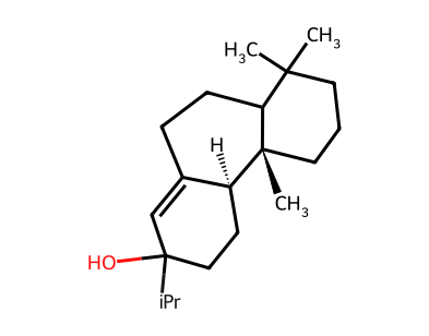 CC(C)C1(O)C=C2CCC3C(C)(C)CCC[C@]3(C)[C@H]2CC1